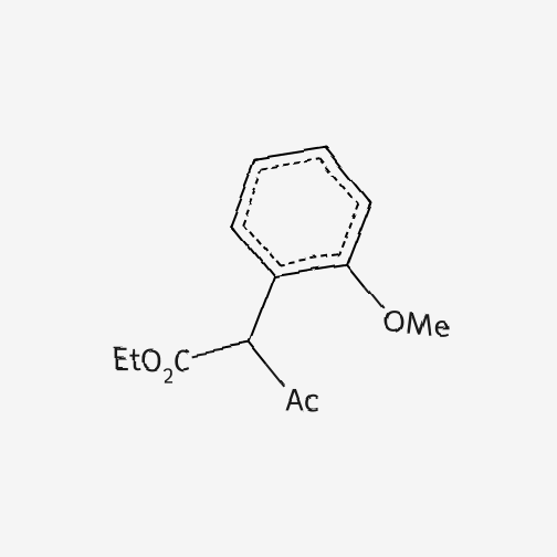 CCOC(=O)C(C(C)=O)c1ccccc1OC